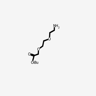 CC(C)COC(=O)COCCOCCN